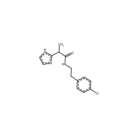 C[C](C(=O)NCCc1ccc(Cl)cc1)c1ncc[nH]1